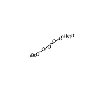 CCCCCCCOCCOCCOCCOCCOCCCC